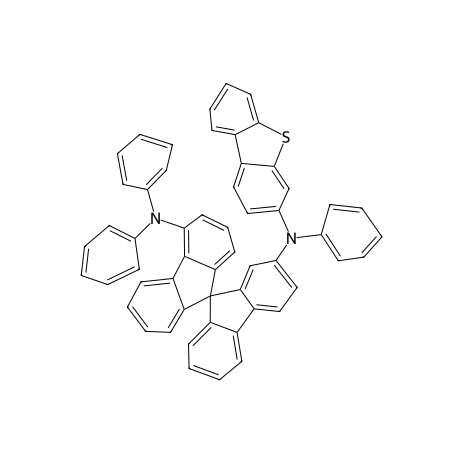 c1ccc(N(c2ccc3c(c2)C2(c4ccccc4-3)c3ccccc3-c3c(N(c4ccccc4)c4ccccc4)cccc32)c2ccc3c(c2)sc2ccccc23)cc1